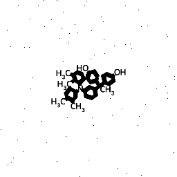 Cc1ccc(N(c2cccc(C(C)(c3ccc(O)cc3)c3ccc(O)cc3)c2)c2cccc(C)c2C)cc1C